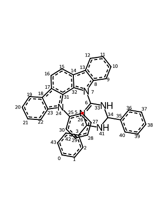 c1ccc(C2N=C(n3c4ccccc4c4ccc5c6ccccc6n(-c6ccccc6)c5c43)NC(c3ccccc3)N2)cc1